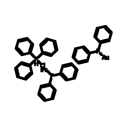 CC(C)P(c1ccccc1)c1ccccc1.Cl[PH](c1ccccc1)(c1ccccc1)c1ccccc1.[Au][P](c1ccccc1)c1ccccc1